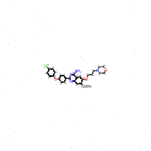 COc1cc2nc(-c3ccc(Oc4ccc(Cl)cc4)cc3)nc(N)c2cc1OCCCN1CCOCC1